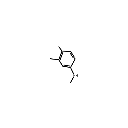 CNc1cc(C)c(I)cn1